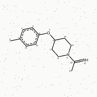 [CH2]c1ccc(OC2CCN(C(C)=N)CC2)cc1